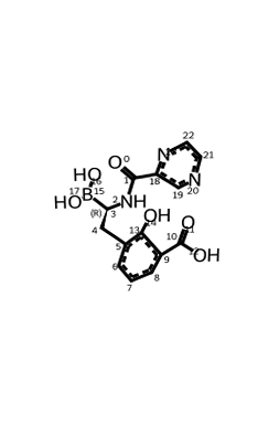 O=C(N[C@@H](Cc1cccc(C(=O)O)c1O)B(O)O)c1cnccn1